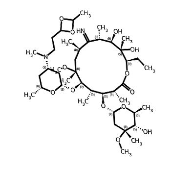 CC[C@H]1OC(=O)[C@H](C)[C@@H](O[C@H]2C[C@@](C)(OC)[C@@H](O)[C@H](C)O2)[C@H](C)[C@@H](O[C@H]2C[C@@H](N(C)CCC3OC(C)O3)C[C@@H](C)O2)[C@](C)(OC)C[C@@H](C)C(=N)[C@H](C)[C@@H](O)[C@]1(C)O